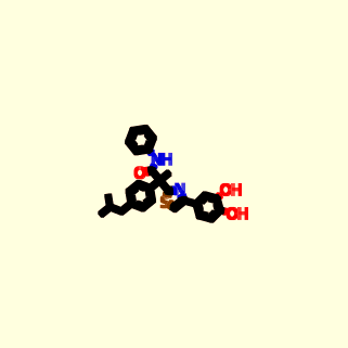 CC(C)Cc1ccc(C(C)(C(=O)Nc2ccccc2)c2nc(-c3ccc(O)c(O)c3)cs2)cc1